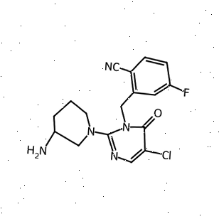 N#Cc1ccc(F)cc1Cn1c(N2CCCC(N)C2)ncc(Cl)c1=O